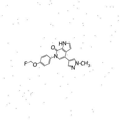 Cn1cc(-c2cn(-c3ccc(OCF)cc3)c(=O)c3[nH]ccc23)cn1